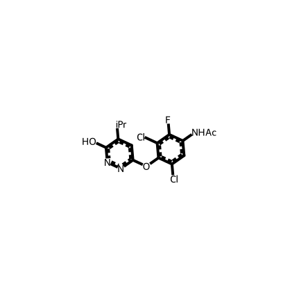 CC(=O)Nc1cc(Cl)c(Oc2cc(C(C)C)c(O)nn2)c(Cl)c1F